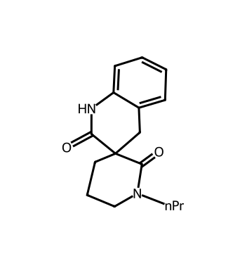 CCCN1CCCC2(Cc3ccccc3NC2=O)C1=O